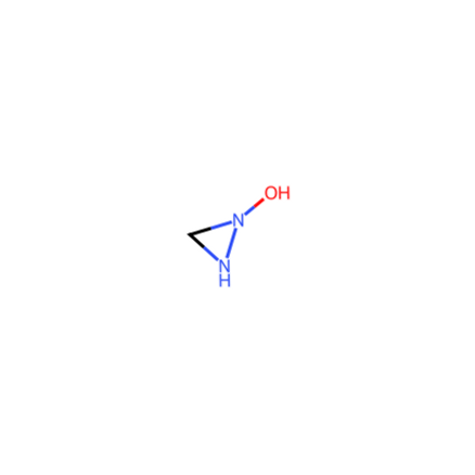 ON1CN1